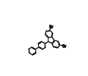 Brc1ccc2c(c1)-c1cc(Br)ccc1C2c1ccc(-c2ccccc2)cc1